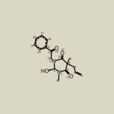 C=CCC1(C)C(=O)N(C)C(O)N(CC(=O)c2ccccc2)C1=O